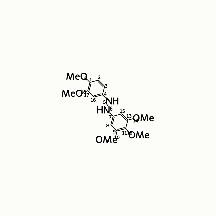 COc1ccc(NNc2cc(OC)c(OC)c(OC)c2)cc1OC